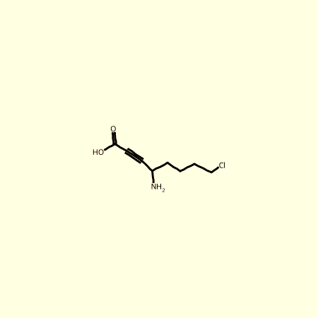 NC(C#CC(=O)O)CCCCCl